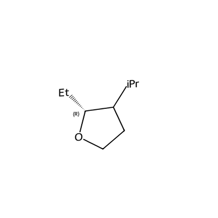 CC[C@H]1OCCC1C(C)C